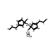 CCCC1=C[C](C)([Zr+2][C]2(C)C=CC(CCC)=C2)C=C1.[Cl-].[Cl-]